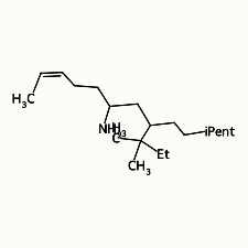 C/C=C\CCC(N)CC(CCC(C)CCC)C(C)(C)CC